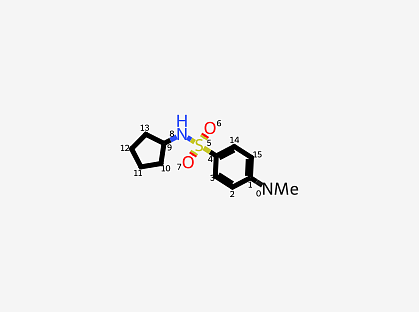 CNc1ccc(S(=O)(=O)NC2CCCC2)cc1